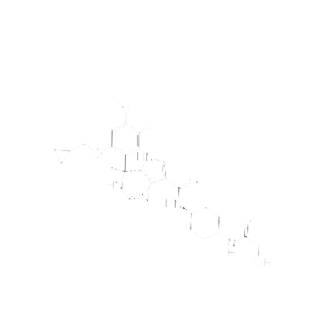 COc1cc(OCC2CC2)c(C2(C)NC=Nc3c(C(=O)N[C@H]4CC[C@H](NC(=O)[C@H](C)O)CC4)c[nH]c32)cc1F